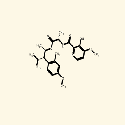 COc1ccc([C@H](C(C)C)[C@H](C)OC(=O)[C@H](C)NC(=O)c2nccc(OC)c2O)c(C)c1